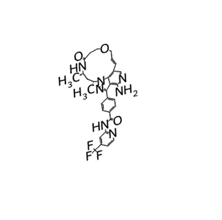 C[C@@H]1C[C@@H](C)n2nc(-c3ccc(C(=O)Nc4cc(C(F)(F)F)ccn4)cc3)c3c(N)ncc(c32)/C=C/COCCC(=O)N1